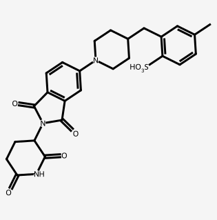 Cc1ccc(S(=O)(=O)O)c(CC2CCN(c3ccc4c(c3)C(=O)N(C3CCC(=O)NC3=O)C4=O)CC2)c1